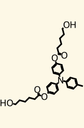 Cc1ccc(N(c2ccc(OC(=O)CCCCCO)cc2)c2ccc(OC(=O)CCCCCO)cc2)cc1